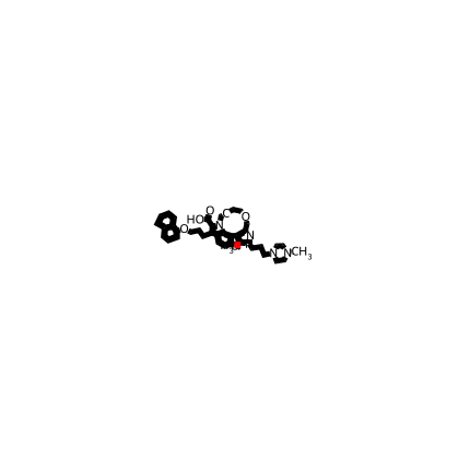 Cc1c2c(nn1CCCN1CCN(C)CC1)COCCCCn1c(C(=O)O)c(CCCOc3cccc4ccccc34)c3ccc(Cl)c-2c31